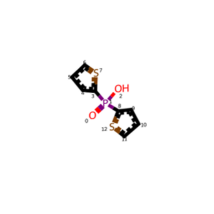 O=P(O)(c1cccs1)c1cccs1